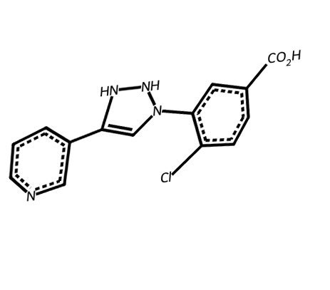 O=C(O)c1ccc(Cl)c(N2C=C(c3cccnc3)NN2)c1